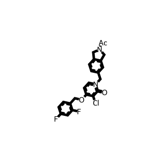 CC(=O)N1Cc2ccc(Cn3ccc(OCc4ccc(F)cc4F)c(Cl)c3=O)cc2C1